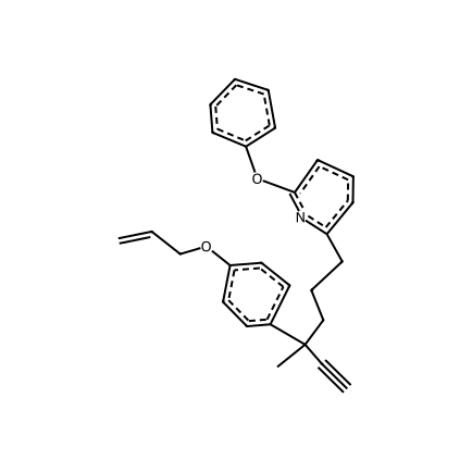 C#CC(C)(CCCc1cccc(Oc2ccccc2)n1)c1ccc(OCC=C)cc1